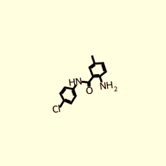 Cc1ccc(N)c(C(=O)Nc2ccc(Cl)cc2)c1